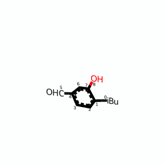 CCC(C)c1ccc(C=O)cc1O